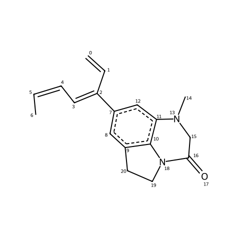 C=C/C(=C\C=C/C)c1cc2c3c(c1)N(C)CC(=O)N3CC2